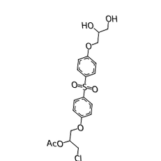 CC(=O)OC(CCl)COc1ccc(S(=O)(=O)c2ccc(OCC(O)CO)cc2)cc1